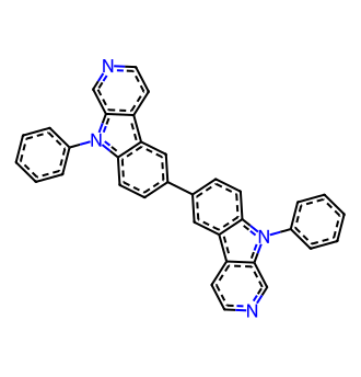 c1ccc(-n2c3ccc(-c4ccc5c(c4)c4ccncc4n5-c4ccccc4)cc3c3ccncc32)cc1